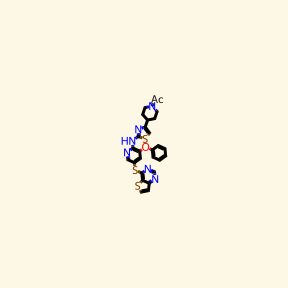 CC(=O)N1CCC(c2csc(Nc3ncc(Sc4ncnc5ccsc45)cc3Oc3ccccc3)n2)CC1